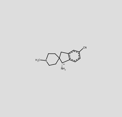 CN1CCC2(CC1)Cc1cc(C#N)ccc1[C@@H]2N